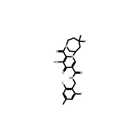 Cc1cc(F)c(CNC(=O)c2cn3c(c(O)c2=O)C(=O)N2CCC(C)(F)CC3C2)c(F)c1